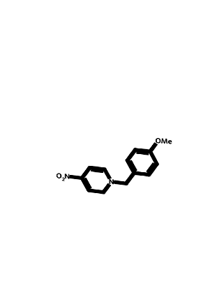 COc1ccc(CN2C=CC([N+](=O)[O-])=CC2)cc1